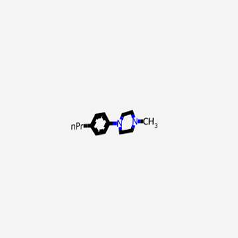 [CH2]CCc1ccc(N2CCN(C)CC2)cc1